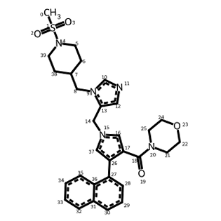 CS(=O)(=O)N1CCC(Cn2cncc2Cn2cc(C(=O)N3CCOCC3)c(-c3cccc4ccccc34)c2)CC1